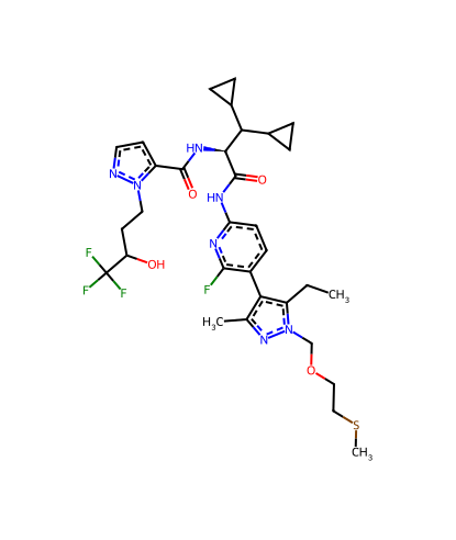 CCc1c(-c2ccc(NC(=O)[C@@H](NC(=O)c3ccnn3CCC(O)C(F)(F)F)C(C3CC3)C3CC3)nc2F)c(C)nn1COCCSC